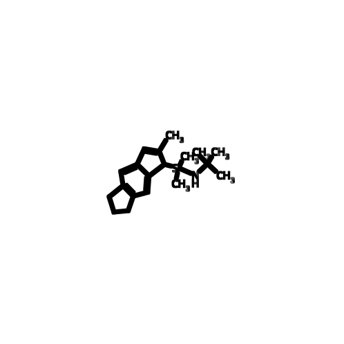 CC1=Cc2cc3c(cc2C1[Si](C)(C)NC(C)(C)C)CCC3